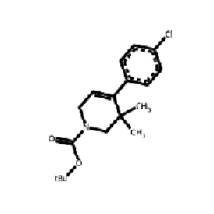 CC(C)(C)OC(=O)N1CC=C(c2ccc(Cl)cc2)C(C)(C)C1